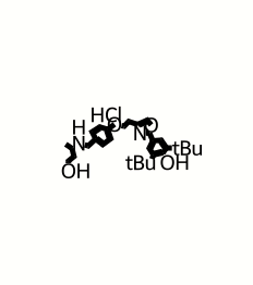 CC(CCO)NCc1ccc(OCCc2coc(-c3cc(C(C)(C)C)c(O)c(C(C)(C)C)c3)n2)cc1.Cl